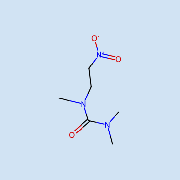 CN(C)C(=O)N(C)CC[N+](=O)[O-]